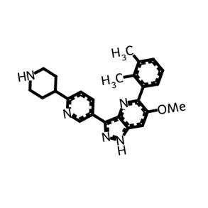 COc1cc2[nH]nc(-c3ccc(C4CCNCC4)nc3)c2nc1-c1cccc(C)c1C